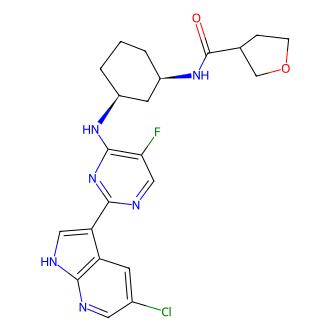 O=C(N[C@@H]1CCC[C@H](Nc2nc(-c3c[nH]c4ncc(Cl)cc34)ncc2F)C1)C1CCOC1